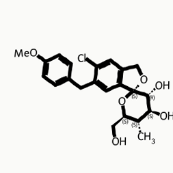 COc1ccc(Cc2cc3c(cc2Cl)CO[C@]32O[C@H](CO)[C@@H](C)[C@H](O)[C@H]2O)cc1